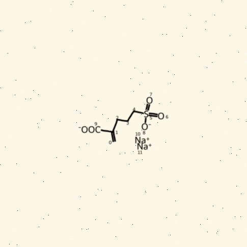 C=C(CCCS(=O)(=O)[O-])C(=O)[O-].[Na+].[Na+]